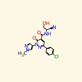 Cn1cc(-n2nc(-c3ccc(Cl)cc3)cc(C(=O)NC(C#N)CO)c2=O)cn1